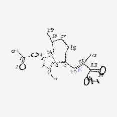 CC(=O)OC1CC(C)=C2C(/C=C(\C)C(=O)O)CCC(C)C21